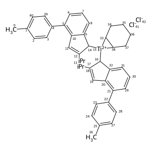 Cc1ccc(-c2cccc3c2C=C(C(C)C)[CH]3[Ti+2]2([CH]3C(C(C)C)=Cc4c(-c5ccc(C)cc5)cccc43)[CH]3CCCC[CH]32)cc1.[Cl-].[Cl-]